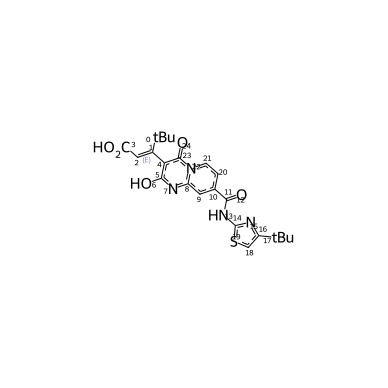 CC(C)(C)/C(=C\C(=O)O)c1c(O)nc2cc(C(=O)Nc3nc(C(C)(C)C)cs3)ccn2c1=O